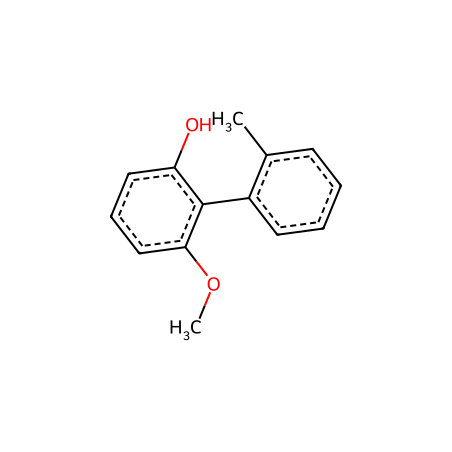 COc1cccc(O)c1-c1ccccc1C